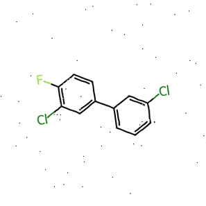 Fc1ccc(-c2cc[c]c(Cl)c2)cc1Cl